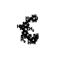 Cc1cc(-c2n[nH]c3nc(NCCN4CCOCC4)nc(C)c23)ccc1NC(=O)Nc1cccc(C(F)(F)F)c1